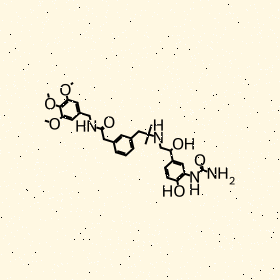 COc1cc(CNC(=O)Cc2cccc(CC(C)(C)NCC(O)c3ccc(O)c(NC(N)=O)c3)c2)cc(OC)c1OC